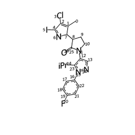 CC1=C(Cl)C(I)=NC1C1CCN(c2cnn(-c3ccc(F)cc3)c2C(C)C)C1=O